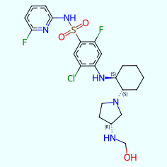 O=S(=O)(Nc1cccc(F)n1)c1cc(Cl)c(N[C@H]2CCCC[C@@H]2N2CC[C@@H](NCO)C2)cc1F